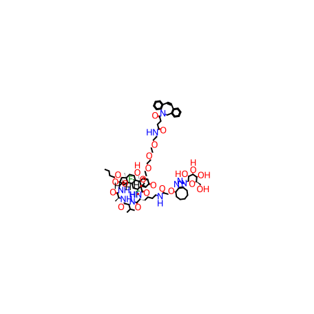 CCCC1O[C@@H]2C[C@H]3[C@@H]4C[C@H](F)C5=CC(=O)C=C[C@]5(C)[C@@]4(F)[C@@H](O)C[C@]3(C)[C@]2(C(=O)CNC(=O)[C@H](C)NC(=O)[C@@H](NC(=O)[C@@H](CCCCNC(=O)COC2CCCCCc3c2nnn3[C@@H]2O[C@H](CO)[C@H](O)[C@H](O)[C@H]2O)NC(=O)CCOCCOCCOCCOCCNC(=O)CCC(=O)N2Cc3ccccc3C#Cc3ccccc32)C(C)C)O1